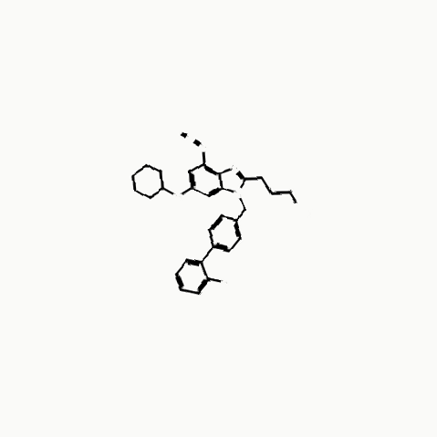 CCCCc1nc2c(N=C=O)cc(NC3CCCCC3)cc2n1Cc1ccc(-c2ccccc2N)cc1